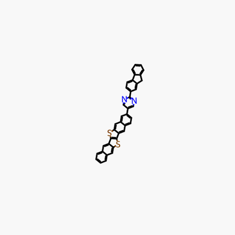 c1ccc2c(c1)Cc1cc(-c3ncc(-c4ccc5cc6c(cc5c4)sc4c5cc7ccccc7cc5sc64)cn3)ccc1-2